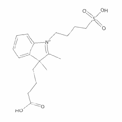 CC1=[N+](CCCCS(=O)(=O)O)c2ccccc2C1(C)CCCC(=O)O